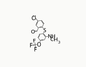 CNc1cc(OC(F)(F)F)ccc1Sc1ccc(Cl)cc1C=O